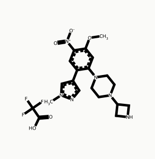 COc1cc(N2CCN(C3CNC3)CC2)c(-c2cnn(C)c2)cc1[N+](=O)[O-].O=C(O)C(F)(F)F